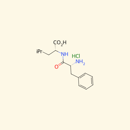 CC(C)C[C@@H](NC(=O)[C@H](N)Cc1ccccc1)C(=O)O.Cl